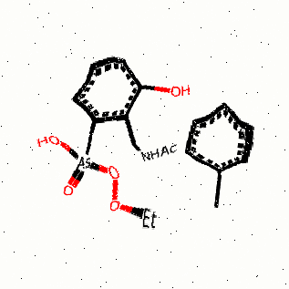 CCOO[As](=O)(O)c1cccc(O)c1NC(C)=O.Cc1ccccc1